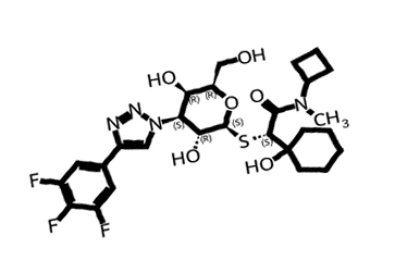 CN(C(=O)[C@@H](S[C@@H]1O[C@H](CO)[C@H](O)[C@H](n2cc(-c3cc(F)c(F)c(F)c3)nn2)[C@H]1O)C1(O)CCCCC1)C1CCC1